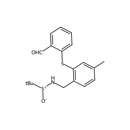 Cc1ccc(CN[S+]([O-])C(C)(C)C)c(Sc2ccccc2C=O)c1